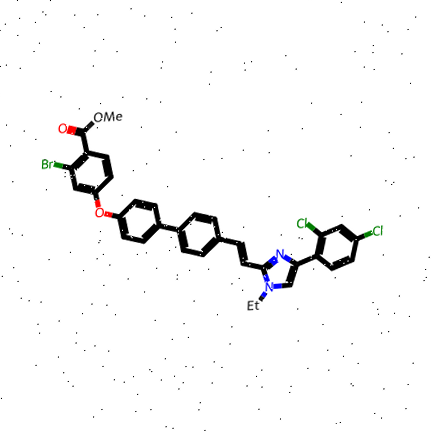 CCn1cc(-c2ccc(Cl)cc2Cl)nc1C=Cc1ccc(-c2ccc(Oc3ccc(C(=O)OC)c(Br)c3)cc2)cc1